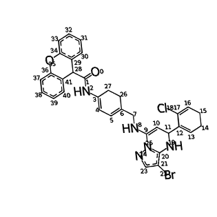 O=C(NC1=CC=C(CNC2=CC(C3=CCCC=C3Cl)Nc3c(Br)cnn32)CC1)C1c2ccccc2Oc2ccccc21